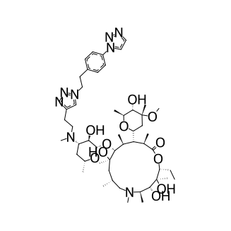 CC[C@H]1OC(=O)[C@H](C)[C@@H](C2C[C@@](C)(OC)[C@@H](O)[C@H](C)O2)[C@H](C)[C@@H](O[C@@H]2O[C@H](C)C[C@H](N(C)CCc3cn(CCc4ccc(-n5ccnn5)cc4)nn3)[C@H]2O)[C@](C)(O)C[C@@H](C)CN(C)[C@H](C)[C@@H](O)[C@]1(C)O